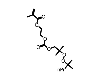 C=C(C)C(=O)OCCOC(=O)OCC(C)(C)OOC(C)(C)CCC